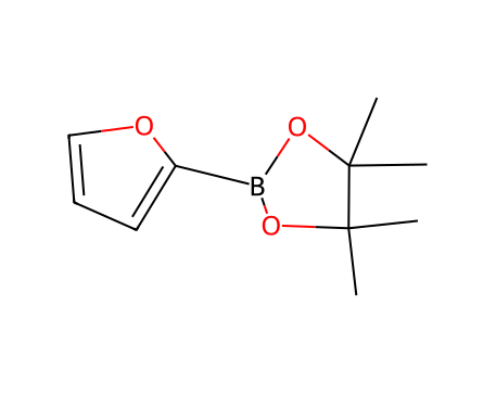 CC1(C)OB(c2ccco2)OC1(C)C